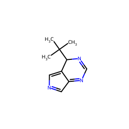 CC(C)(C)C1N=CN=C2C=NC=C21